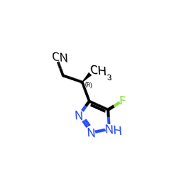 C[C@H](CC#N)c1nn[nH]c1F